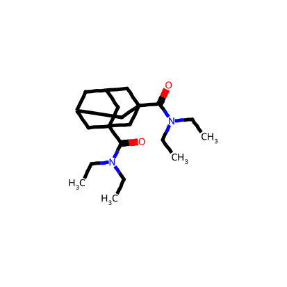 CCN(CC)C(=O)C12CC3CC(C1)CC(C(=O)N(CC)CC)(C3)C2